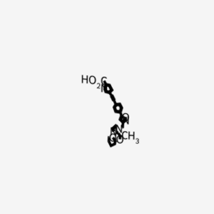 C[C@H](OC1CCCCO1)c1nccn1Cc1cc(-c2ccc(C#Cc3ccc(C(=O)O)nc3)cc2)on1